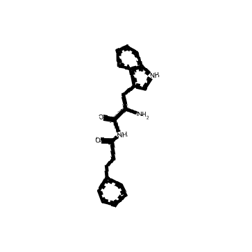 NC(Cc1c[nH]c2ccccc12)C(=O)NC(=O)CCc1ccccc1